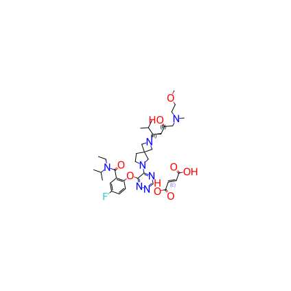 CCN(C(=O)c1cc(F)ccc1Oc1nncnc1N1CCC2(C1)CN([C@H](C[C@@H](O)CN(C)CCOC)C(C)C)C2)C(C)C.O=C(O)/C=C/C(=O)O